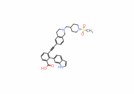 CS(=O)(=O)N1CCC(CN2CCc3cc(C#Cc4cccc(C(=O)O)c4-c4ccc5cc[nH]c5c4)ccc3C2)CC1